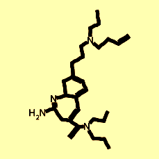 C=CCCN(CCC)CCCC1=CC=C2C=C(C(=C)N(CCC)CCC)CC(N)=NC2C1